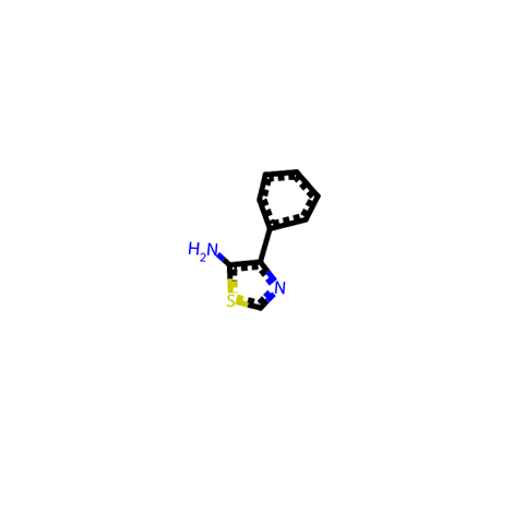 Nc1scnc1-c1ccccc1